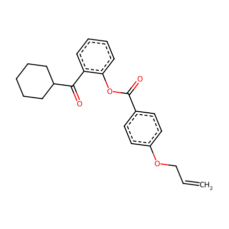 C=CCOc1ccc(C(=O)Oc2ccccc2C(=O)C2CCCCC2)cc1